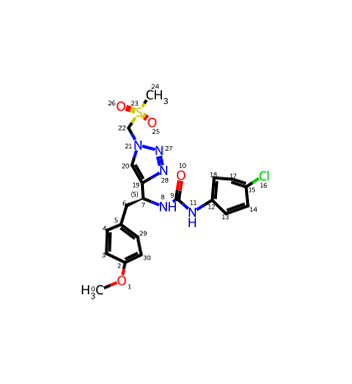 COc1ccc(C[C@H](NC(=O)Nc2ccc(Cl)cc2)c2cn(CS(C)(=O)=O)nn2)cc1